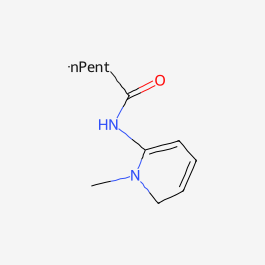 [CH2]CCC[CH]C(=O)NC1=CC=CCN1C